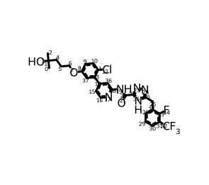 CC(C)(O)CCCOc1ccc(Cl)c(-c2ccnc(NC(=O)c3nnc(Cc4cccc(C(F)(F)F)c4F)[nH]3)c2)c1